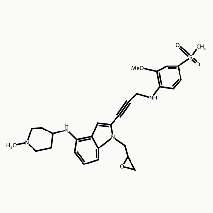 COc1cc(S(C)(=O)=O)ccc1NCC#Cc1cc2c(NC3CCN(C)CC3)cccc2n1CC1CO1